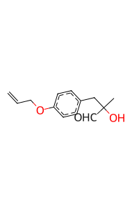 C=CCOc1ccc(CC(C)(O)C=O)cc1